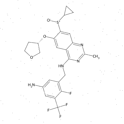 Cc1nc(NCc2cc(N)cc(C(F)(F)F)c2F)c2cc(O[C@H]3CCOC3)c([S+]([O-])C3CC3)cc2n1